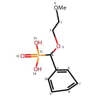 COCCOC(c1ccccc1)P(=O)(O)O